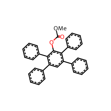 COC(=O)Oc1c(-c2ccccc2)c(-c2ccccc2)cc(-c2ccccc2)c1-c1ccccc1